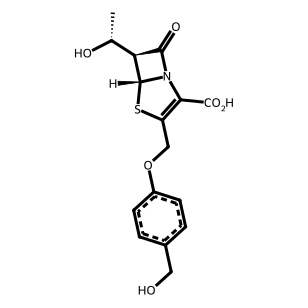 C[C@@H](O)[C@H]1C(=O)N2C(C(=O)O)=C(COc3ccc(CO)cc3)S[C@H]12